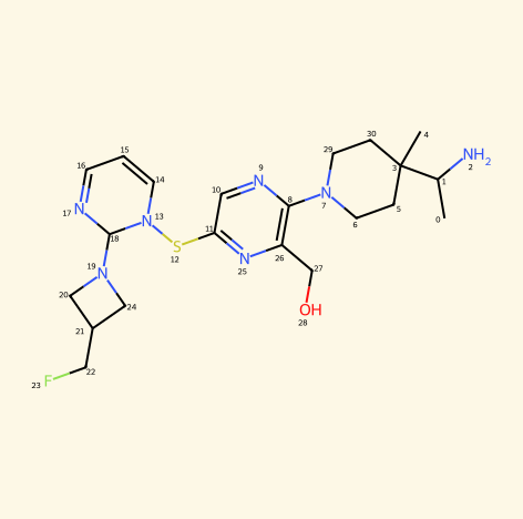 CC(N)C1(C)CCN(c2ncc(SN3C=CC=NC3N3CC(CF)C3)nc2CO)CC1